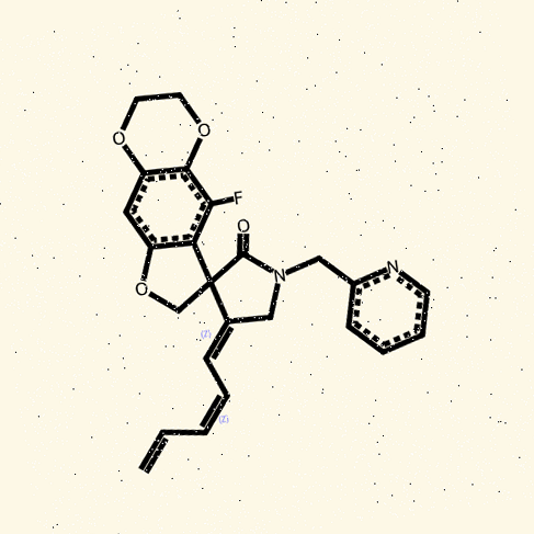 C=C/C=C\C=C1/CN(Cc2ccccn2)C(=O)C12COc1cc3c(c(F)c12)OCCO3